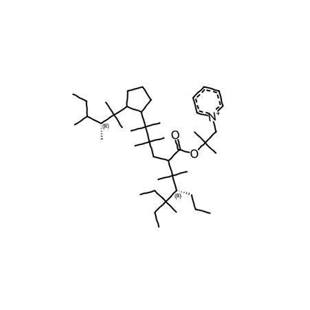 CCC[C@H](C(C)(CC)CC)C(C)(C)C(CC(C)(C)C(C)(C)C1CCCC1C(C)(C)[C@H](C)C(C)CC)C(=O)OC(C)(C)C[n+]1ccccc1